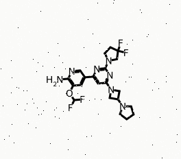 Nc1ncc(-c2cc(N3CC(N4CCCC4)C3)nc(N3CCC(F)(F)C3)n2)cc1OC(F)F